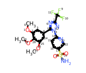 COc1cc(-c2nc(C(F)(F)F)nn2-c2ccc(S(N)(=O)=O)cn2)cc(OC)c1OC